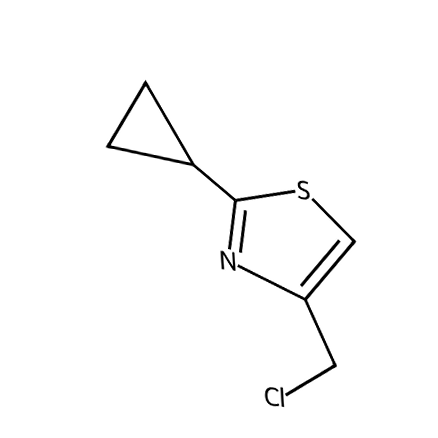 ClCc1csc(C2CC2)n1